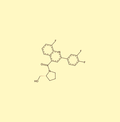 O=C(c1cc(-c2ccc(F)c(F)c2)nc2c(F)cccc12)N1CCC[C@@H]1CO